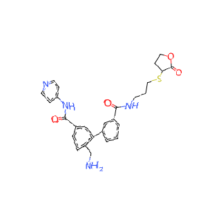 NCc1ccc(C(=O)Nc2ccncc2)cc1-c1cccc(C(=O)NCCCSC2CCOC2=O)c1